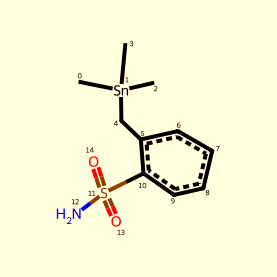 [CH3][Sn]([CH3])([CH3])[CH2]c1ccccc1S(N)(=O)=O